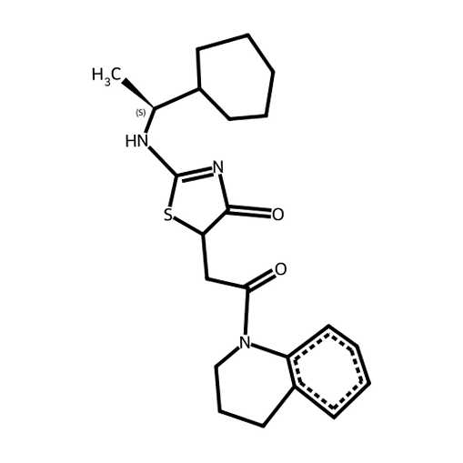 C[C@H](NC1=NC(=O)C(CC(=O)N2CCCc3ccccc32)S1)C1CCCCC1